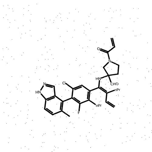 C=CC(=O)N1CCC(C=O)(N/C(=C(/C=C)CCC)c2cc(Cl)c(-c3c(C)ccc4[nH]ncc34)c(F)c2CCC)C1